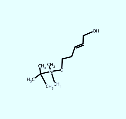 CC(C)(C)[Si](C)(C)OCCC=CCO